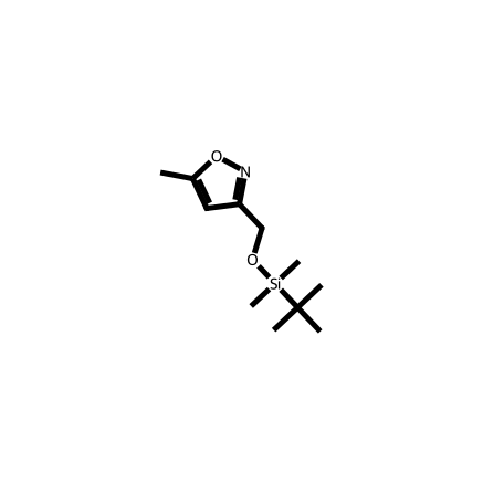 Cc1cc(CO[Si](C)(C)C(C)(C)C)no1